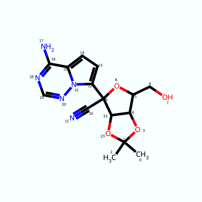 CC1(C)OC2C(CO)OC(C#N)(c3ccc4c(N)ncnn34)C2O1